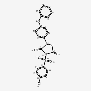 O=C1CN(c2ccc(Oc3ccccc3)cc2)C(=O)N1S(=O)(=O)c1ccc(Cl)cc1